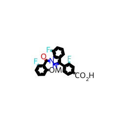 COc1cccc(F)c1C(=O)n1nc(-c2ccc(C(=O)O)cc2F)c2cccc(F)c21